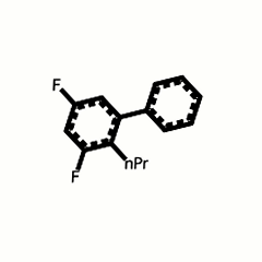 CCCc1c(F)cc(F)cc1-c1ccccc1